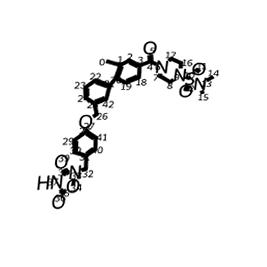 Cc1cc(C(=O)N2CCN(S(=O)(=O)N(C)C)CC2)ccc1-c1cccc(COc2ccc(Cn3oc(=O)[nH]c3=O)cc2)c1